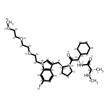 CN[C@@H](C)C(=O)N[C@H](C(=O)N1CCC[C@H]1Cc1cn(CCOCCOCCOC)c2cc(F)ccc12)C1CCCCC1